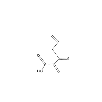 C=CCC(=S)C(=C)C(=O)O